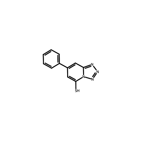 Sc1cc(-c2ccccc2)cc2nnnn12